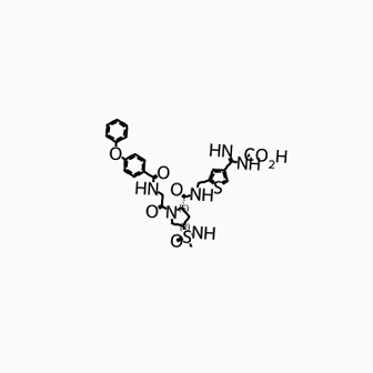 CS(=N)(=O)[C@@H]1C[C@@H](C(=O)NCc2cc(C(=N)NC(=O)O)cs2)N(C(=O)CNC(=O)c2ccc(Oc3ccccc3)cc2)C1